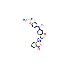 CC(C)Oc1ccc(N(C)c2ccc3c(c2)OCC[C@H]3CNc2cnccc2C(=O)O)cc1